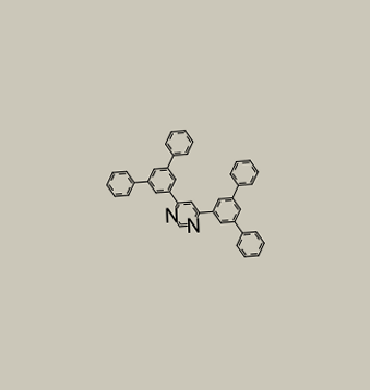 c1ccc(-c2cc(-c3ccccc3)cc(-c3cc(-c4cc(-c5ccccc5)cc(-c5ccccc5)c4)ncn3)c2)cc1